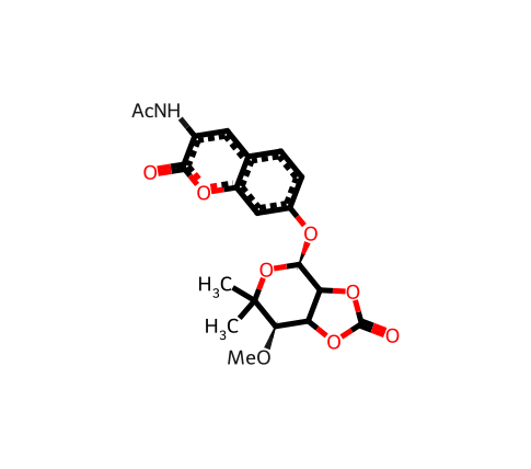 CO[C@@H]1C2OC(=O)OC2[C@H](Oc2ccc3cc(NC(C)=O)c(=O)oc3c2)OC1(C)C